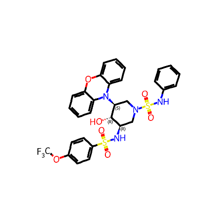 O=S(=O)(N[C@@H]1CN(S(=O)(=O)Nc2ccccc2)C[C@H](N2c3ccccc3Oc3ccccc32)[C@H]1O)c1ccc(OC(F)(F)F)cc1